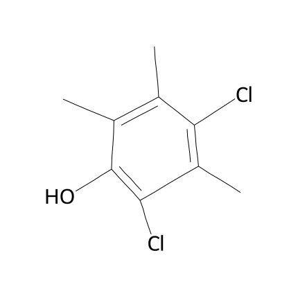 Cc1c(C)c(Cl)c(C)c(Cl)c1O